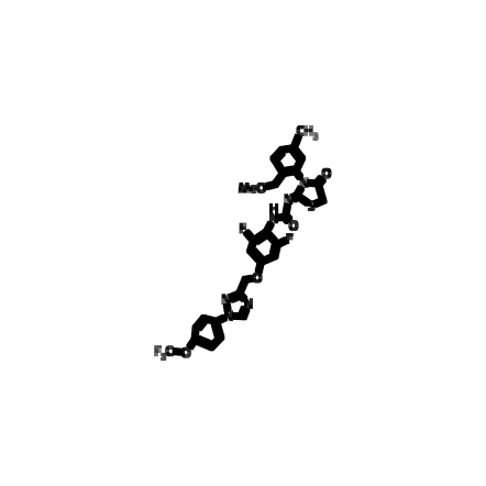 COCc1ccc(C)cc1N1C(=O)CSC1=NC(=O)Nc1c(F)cc(OCc2ncn(-c3ccc(OC(F)(F)F)cc3)n2)cc1F